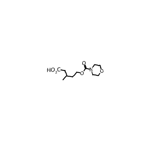 CC(CCOC(=O)N1CCOCC1)CC(=O)O